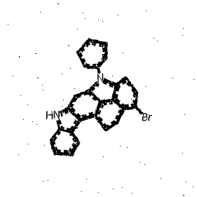 Brc1ccc2c3c1ccc1c4c(cc(c13)n2-c1ccccc1)[nH]c1ccccc14